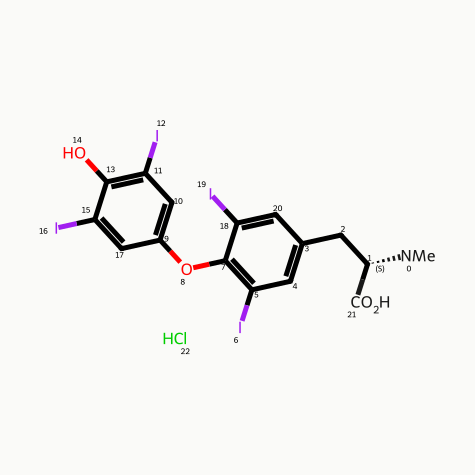 CN[C@@H](Cc1cc(I)c(Oc2cc(I)c(O)c(I)c2)c(I)c1)C(=O)O.Cl